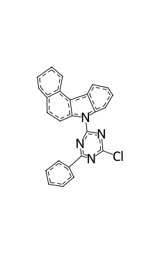 Clc1nc(-c2ccccc2)nc(-n2c3ccccc3c3c4ccccc4ccc32)n1